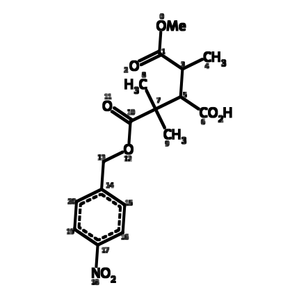 COC(=O)C(C)C(C(=O)O)C(C)(C)C(=O)OCc1ccc([N+](=O)[O-])cc1